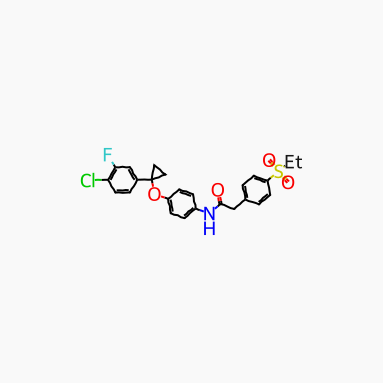 CCS(=O)(=O)c1ccc(CC(=O)Nc2ccc(OC3(c4ccc(Cl)c(F)c4)CC3)cc2)cc1